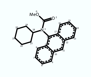 COC(=O)N(c1c2ccccc2cc2ccccc12)C1CCCCC1